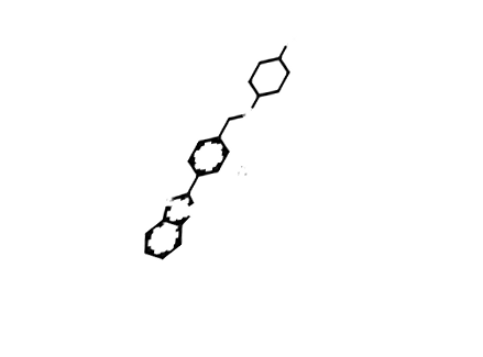 Cl.N.OC1CCC(OCc2ccc(-c3nc4ccccc4o3)cc2)CC1